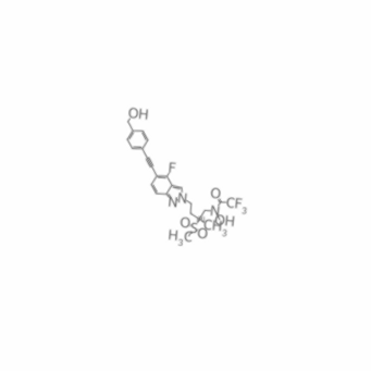 C[C@@](CCn1cc2c(F)c(C#Cc3ccc(CO)cc3)ccc2n1)(CN(O)C(=O)C(F)(F)F)S(C)(=O)=O